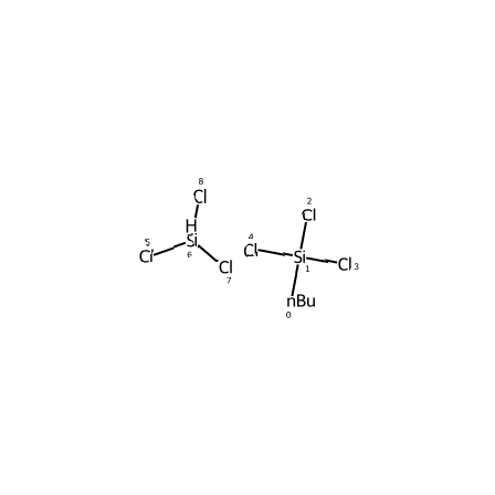 CCCC[Si](Cl)(Cl)Cl.Cl[SiH](Cl)Cl